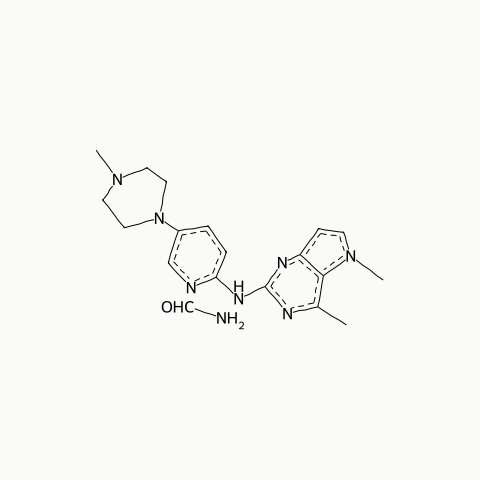 Cc1nc(Nc2ccc(N3CCN(C)CC3)cn2)nc2ccn(C)c12.NC=O